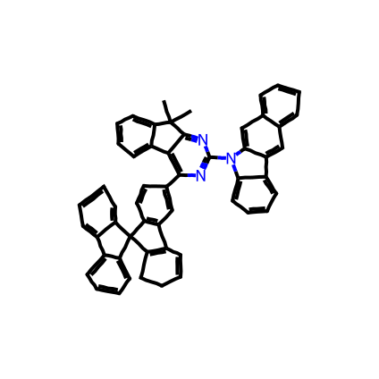 CC1(C)c2ccccc2-c2c(-c3ccc4c(c3)C3=C(CCC=C3)C43c4ccccc4-c4ccccc43)nc(-n3c4ccccc4c4cc5ccccc5cc43)nc21